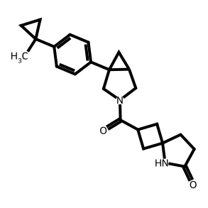 CC1(c2ccc(C34CC3CN(C(=O)C3CC5(CCC(=O)N5)C3)C4)cc2)CC1